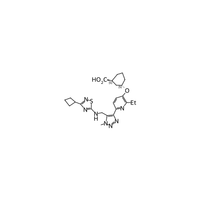 CCc1nc(-c2nnn(C)c2CNc2nc(C3CCC3)ns2)ccc1O[C@H]1CCC[C@H](C(=O)O)C1